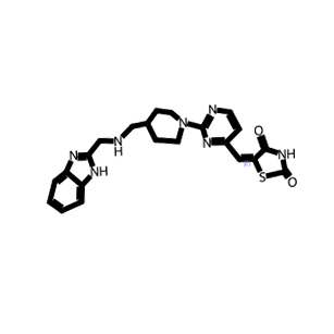 O=C1NC(=O)/C(=C\c2ccnc(N3CCC(CNCc4nc5ccccc5[nH]4)CC3)n2)S1